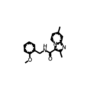 COc1ccccc1CNC(=O)c1c(C)nc2cc(C)ccn12